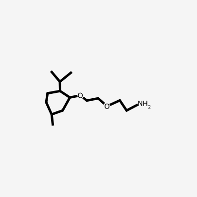 CC1CCC(C(C)C)C(OCCOCCN)C1